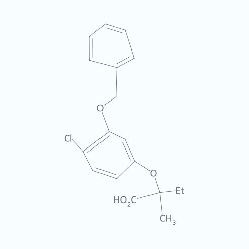 CCC(C)(Oc1ccc(Cl)c(OCc2ccccc2)c1)C(=O)O